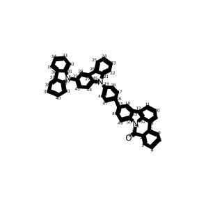 O=c1c2ccccc2c2cccc3c4cc(-c5ccc(-n6c7ccccc7c7cc(-n8c9ccccc9c9ccccc98)ccc76)cc5)ccc4n1c23